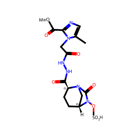 COC(=O)c1ncc(C)n1CC(=O)NNC(=O)[C@@H]1CC[C@@H]2CN1C(=O)N2OS(=O)(=O)O